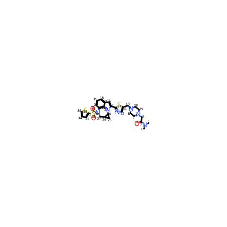 CN(C)C(=O)CN1CCN(Cc2cnc(-c3cc4cccc5c4n3C3CC3CN5S(=O)(=O)c3cccs3)s2)CC1